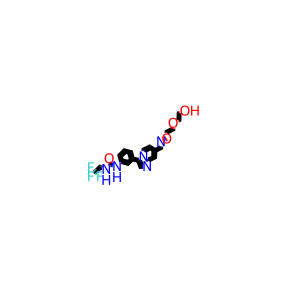 O=C(NCC(F)(F)F)Nc1cccc(-c2cnc3cc(/C=N/OCCOCCO)ccn23)c1